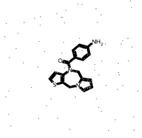 Nc1ccc(C(=O)N2Cc3cccn3Cc3sccc32)cc1